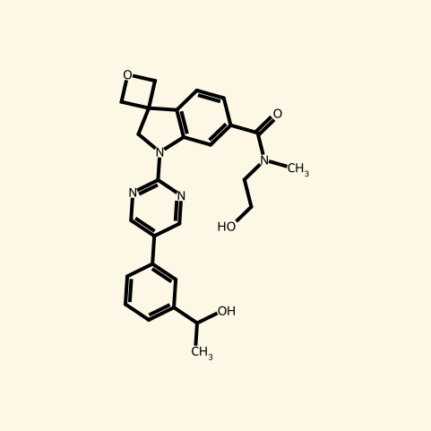 CC(O)c1cccc(-c2cnc(N3CC4(COC4)c4ccc(C(=O)N(C)CCO)cc43)nc2)c1